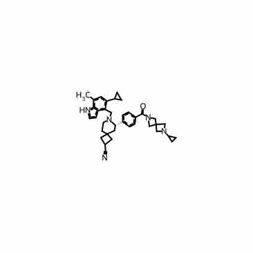 Cc1cc(C2CC2)c(CN2CCC3(CC(C#N)C3)C[C@H]2c2ccc(C(=O)N3CC4(C3)CN(C3CC3)C4)cc2)c2cc[nH]c12